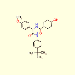 COc1ccc(C(NC(=O)C2CCC(O)CC2)C(=O)Nc2ccc(C(C)(C)C)cc2)cc1